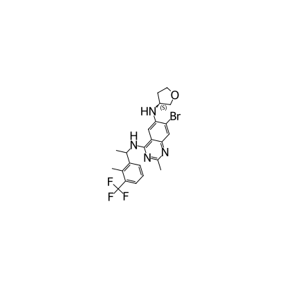 Cc1nc(NC(C)c2cccc(C(F)(F)F)c2C)c2cc(N[C@H]3CCOC3)c(Br)cc2n1